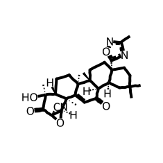 Cc1noc([C@]23CCC(C)(C)C[C@H]2[C@H]2C(=O)C=C4[C@@]5(C)[C@H]6O[C@@]6(C#N)C(=O)[C@@](C)(O)[C@@H]5CC[C@@]4(C)[C@]2(C)CC3)n1